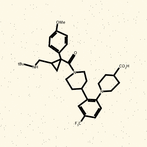 COc1ccc(C2(C(=O)N3CCC(c4cc(C(F)(F)F)ccc4N4CCC(C(=O)O)CC4)CC3)CC2CNC(C)(C)C)cc1